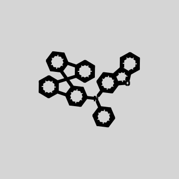 c1ccc(N(c2ccc3c(c2)C2(c4ccccc4-c4ccccc42)c2ccccc2-3)c2ccc3c(c2)oc2ccccc23)cc1